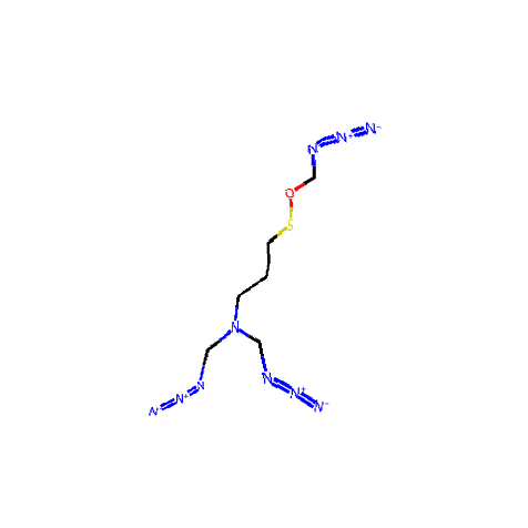 [N-]=[N+]=NCOSCCCN(CN=[N+]=[N-])CN=[N+]=[N-]